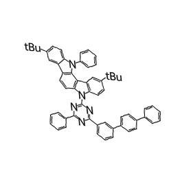 CC(C)(C)c1ccc2c(c1)c1c(ccc3c4cc(C(C)(C)C)ccc4n(-c4ccccc4)c31)n2-c1nc(-c2ccccc2)nc(-c2cccc(-c3ccc(-c4ccccc4)cc3)c2)n1